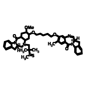 COC1CC2C(=O)N3c4ccccc4C[C@H]3CN(CC(C)(C)S(C)=S)C2CC1OCCCCCOc1cc2c(cc1C)C(=O)N1c3ccccc3C[C@H]1C=N2